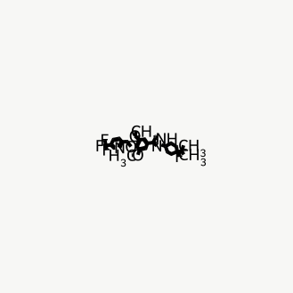 COc1cc(C2CNC(C3CCC(F)(C(C)C)CC3)=N2)cc(OC)c1OCc1ccc(C(F)(F)F)cn1